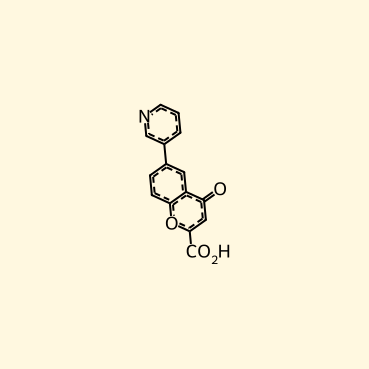 O=C(O)c1cc(=O)c2cc(-c3cccnc3)ccc2o1